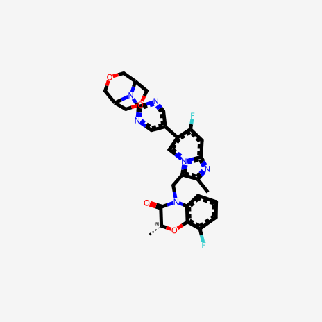 Cc1nc2cc(F)c(-c3cnc(N4C5COCC4COC5)nc3)cn2c1CN1C(=O)[C@@H](C)Oc2c(F)cccc21